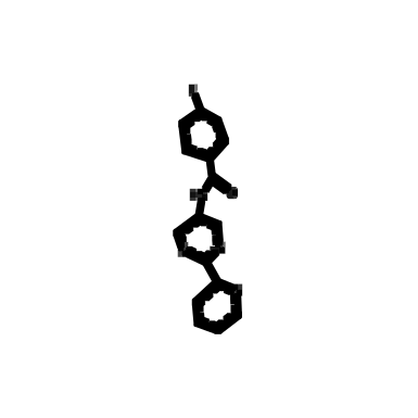 O=C(Nc1cnc(-c2ccccn2)nc1)c1ccc(F)cc1